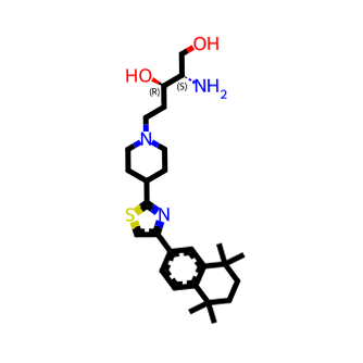 CC1(C)CCC(C)(C)c2cc(-c3csc(C4CCN(CC[C@@H](O)[C@@H](N)CO)CC4)n3)ccc21